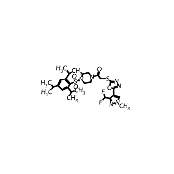 CC(C)c1cc(C(C)C)c(S(=O)(=O)N2CCN(C(=O)CSc3nnc(-c4cn(C)nc4C(F)F)o3)CC2)c(C(C)C)c1